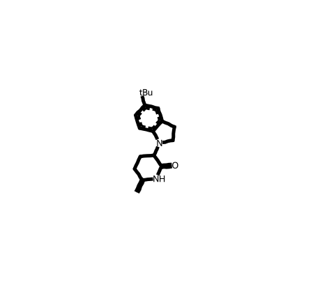 C=C1CCC(N2CCc3cc(C(C)(C)C)ccc32)C(=O)N1